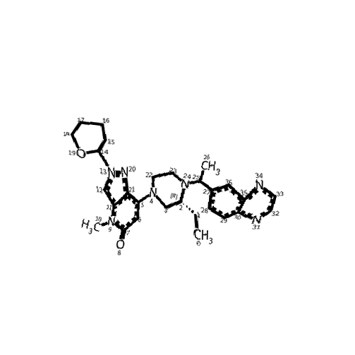 CC[C@@H]1CN(c2cc(=O)n(C)c3cn(C4CCCCO4)nc23)CCN1C(C)c1ccc2nccnc2c1